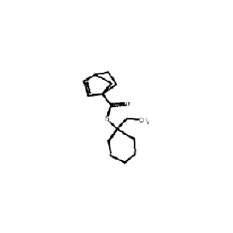 CCC1(OC(=O)C23C=CC(CC2)C3)CCCCC1